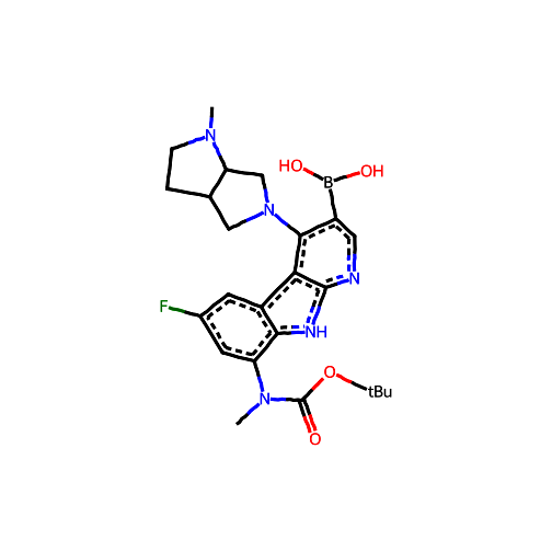 CN(C(=O)OC(C)(C)C)c1cc(F)cc2c1[nH]c1ncc(B(O)O)c(N3CC4CCN(C)C4C3)c12